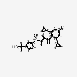 CC(C)(O)c1coc([S+]([O-])NC(=O)Nc2c(C3CC3)cc(Cl)cc2C2CC2)c1